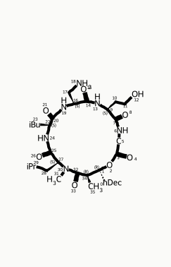 CCCCCCCCCC[C@H]1OC(=O)CNC(=O)[C@H](CCO)NC(=O)[C@H](CN)NC(=O)[C@H](C(C)CC)NC(=O)[C@H](CC(C)C)N(C)C(=O)[C@@H]1C